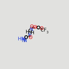 O=C(COc1ccc(OC(F)(F)F)cc1)N1CC[C@H]2CN(C(=O)c3ccc4[nH]nnc4c3)C[C@@H]2C1